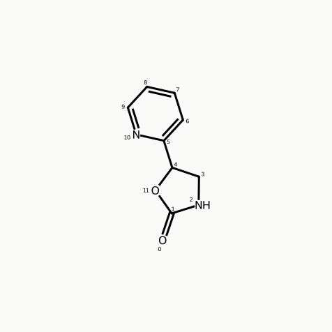 O=C1NCC(c2ccccn2)O1